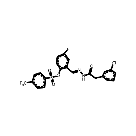 O=C(Cc1cccc(Cl)c1)N/N=C/c1cc(F)ccc1OS(=O)(=O)c1ccc(C(F)(F)F)cc1